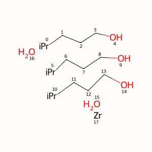 CC(C)CCCO.CC(C)CCCO.CC(C)CCCO.O.O.[Zr]